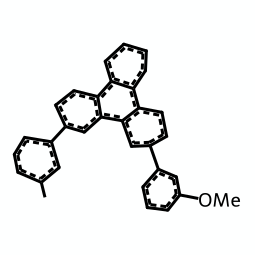 COc1cccc(-c2ccc3c4ccccc4c4ccc(-c5cccc(C)c5)cc4c3c2)c1